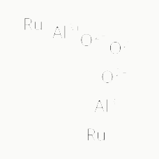 [Al+3].[Al+3].[O-2].[O-2].[O-2].[Ru].[Ru]